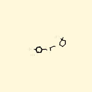 CC(C)C1(C)CCCC(OCC2COC(c3ccc(O)c(O)c3)O2)C1